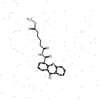 COC(=O)CCCCC(=O)NC(=O)c1cccc2c(Cl)c3ccccc3nc12